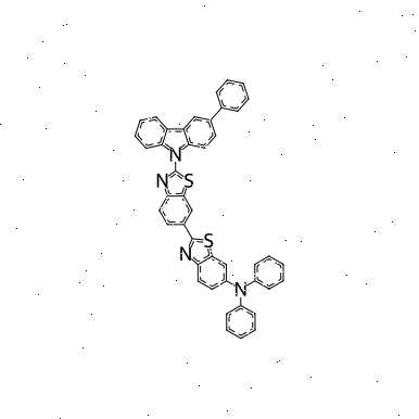 c1ccc(-c2ccc3c(c2)c2ccccc2n3-c2nc3ccc(-c4nc5ccc(N(c6ccccc6)c6ccccc6)cc5s4)cc3s2)cc1